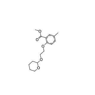 COC(=O)c1cc(C)ccc1OCCOC1CCCCO1